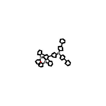 c1ccc(-c2ccc(N(c3ccc(-c4ccccc4)cc3)c3ccc(-c4cc5c6ccccc6n(-c6ccccc6)c5c5c4c4ccccc4n5-c4ccccc4)cc3)cc2)cc1